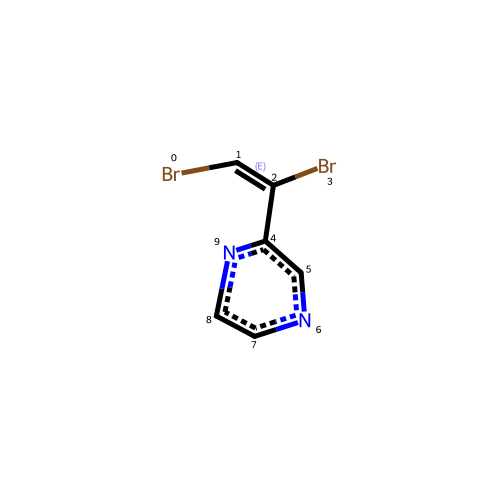 Br/C=C(/Br)c1cnccn1